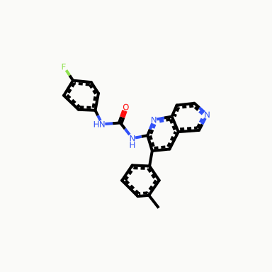 Cc1cccc(-c2cc3cnccc3nc2NC(=O)Nc2ccc(F)cc2)c1